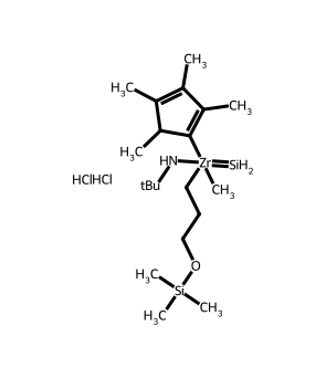 CC1=C(C)C(C)[C]([Zr]([CH3])(=[SiH2])([CH2]CCO[Si](C)(C)C)[NH]C(C)(C)C)=C1C.Cl.Cl